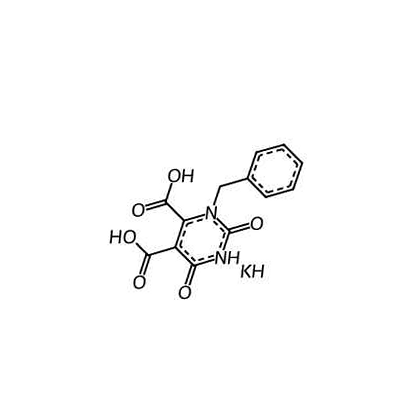 O=C(O)c1c(C(=O)O)n(Cc2ccccc2)c(=O)[nH]c1=O.[KH]